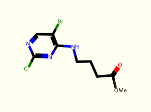 COC(=O)CCCNc1nc(Cl)ncc1Br